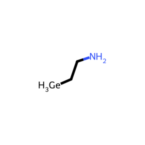 NC[CH2][GeH3]